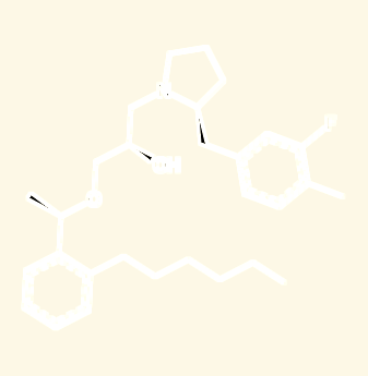 CCCCCCc1ccccc1[C@@H](C)OC[C@H](O)CN1CCC[C@H]1Cc1ccc(C)c(F)c1